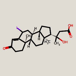 CC(O)(CC(=O)O)[C@H]1CC[C@H]2[C@@H]3CC(I)C4=CC(=O)CC[C@]4(C)[C@H]3CC[C@]12C